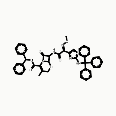 CON=C(C(=O)NC1C(=O)N2C(C(=O)OC(c3ccccc3)c3ccccc3)=C(C)COC12)c1csc(NC(c2ccccc2)(c2ccccc2)c2ccccc2)n1